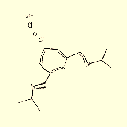 CC(C)N=Cc1cccc(C=NC(C)C)n1.[Cl-].[Cl-].[Cl-].[V+3]